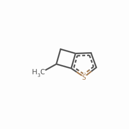 CC1Cc2ccsc21